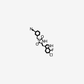 N#Cc1cccc(CN2C(=O)NC(=Cc3c[nH]c4c(F)c(Cl)ccc34)C2=O)c1